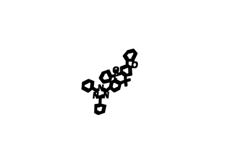 CC1(C)c2ccc(-c3nc(-c4ccccc4)nc(-c4ccccc4)n3)cc2P(=O)(c2ccccc2)c2cc3c(cc21)oc1ccccc13